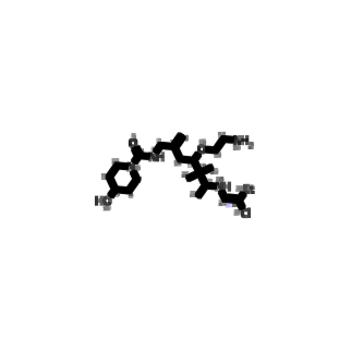 C=C(CNC(=O)N1CCC(O)CC1)CC(OCCN)C(C)(C)C(C)N/C=C(/Cl)CC